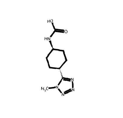 Cn1nnnc1[C@H]1CC[C@H](NC(=O)O)CC1